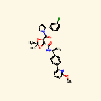 COc1cccc(-c2ccc([C@H](C)NC(=O)[C@@H]3OC(C)(C)O[C@H]3C(=O)N3CCC[C@@H]3c3cccc(Cl)c3)cc2)n1